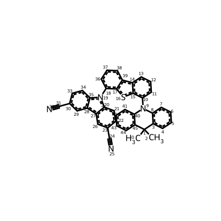 CC1(C)c2ccccc2N(c2cccc3c2sc2c(-n4c5ccc(C#N)cc5c5cc(C#N)ccc54)cccc23)c2ccccc21